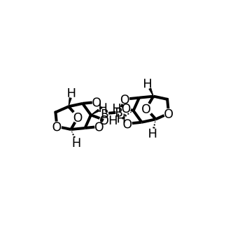 O[C@@H]1C2OB(B3OC4[C@H]5OC[C@@H](O5)C(O3)[C@@H]4O)OC1[C@@H]1CO[C@@H]2O1